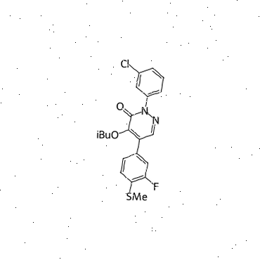 CSc1ccc(-c2cnn(-c3cccc(Cl)c3)c(=O)c2OCC(C)C)cc1F